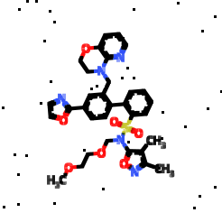 COCCOCN(c1onc(C)c1C)S(=O)(=O)c1ccccc1-c1ccc(-c2ncco2)cc1CN1CCOc2cccnc21